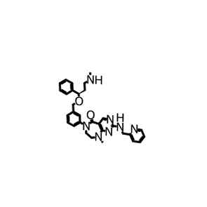 CNCC[C@@H](OCc1cccc(N2CCN(C)c3nc(NCc4ccccn4)ncc3C2=O)c1)c1ccccc1